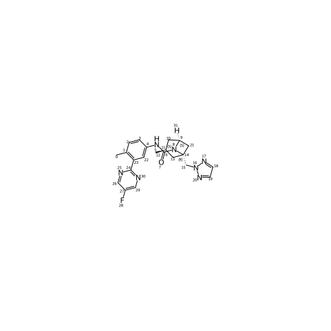 Cc1ccc(NC(=O)N2[C@H]3C[C@H](C)C[C@]2(Cn2nccn2)C3)cc1-c1ncc(F)cn1